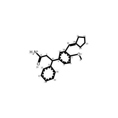 COc1ccc(C(CC(N)=O)c2ccccc2)cc1C=C1CCCC1